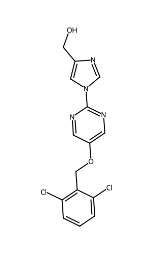 OCc1cn(-c2ncc(OCc3c(Cl)cccc3Cl)cn2)cn1